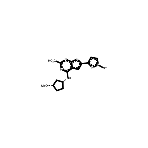 CO[C@H]1CC[C@@H](Nc2nc(C(=O)O)nc3sc(-c4ccn(C(C)C)n4)cc23)C1